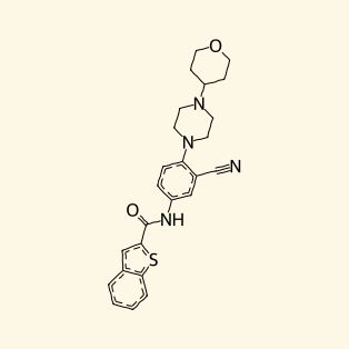 N#Cc1cc(NC(=O)c2cc3ccccc3s2)ccc1N1CCN(C2CCOCC2)CC1